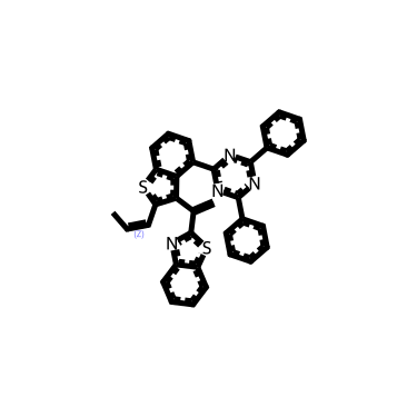 C=C(c1nc2ccccc2s1)c1c(/C=C\C)sc2cccc(-c3nc(-c4ccccc4)nc(-c4ccccc4)n3)c12